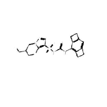 COCC1COc2c(S(=O)(=O)NC(=O)Nc3c4c(cc5c3CC5)CC4)cnn2C1